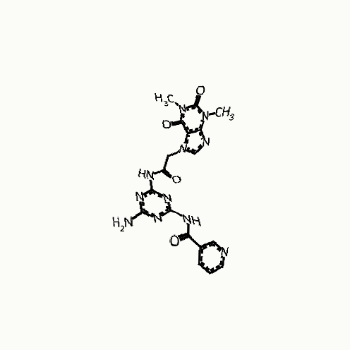 Cn1c(=O)c2c(ncn2CC(=O)Nc2nc(N)nc(NC(=O)c3cccnc3)n2)n(C)c1=O